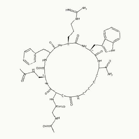 CC(=O)NCC(=O)NC1CC(=O)NCCCCC(C(N)=O)NC(=O)[C@H](Cc2c[nH]c3ccccc23)NC(=O)[C@H](CCCNC(=N)N)NC(=O)C(Cc2ccccc2)NC(=O)[C@H](CNC(C)=O)NC1=O